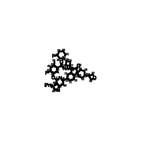 CNC(=O)c1cc(Oc2nc(-c3ccc4c(c3)N([C@H]3C[C@@H](N5CCC[C@@H](F)C5)C3)C(=O)C43CCN(C4COC4)CC3)cc3ncn(C(C)C)c23)c(F)cc1C